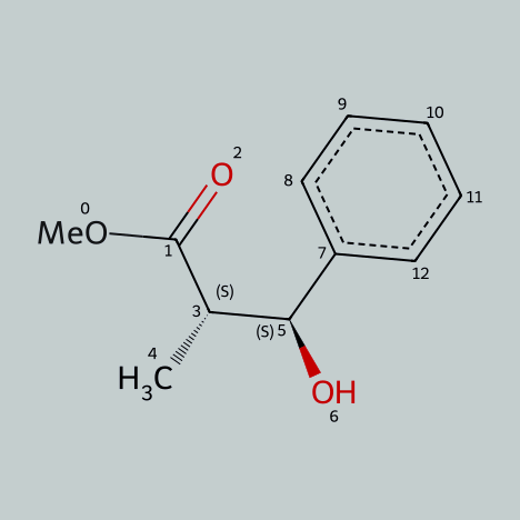 COC(=O)[C@@H](C)[C@H](O)c1ccccc1